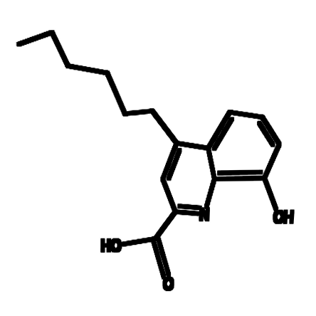 CCCCCCc1cc(C(=O)O)nc2c(O)cccc12